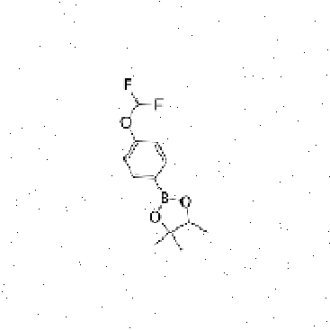 CC1OB(c2ccc(OC(F)F)cc2)OC1(C)C